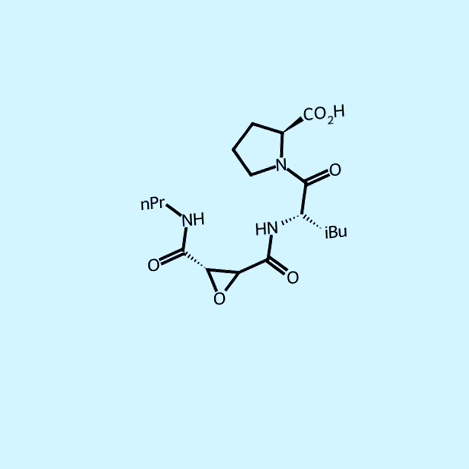 CCCNC(=O)[C@H]1OC1C(=O)N[C@H](C(=O)N1CCC[C@H]1C(=O)O)[C@@H](C)CC